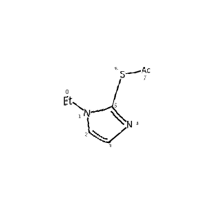 CCn1ccnc1SC(C)=O